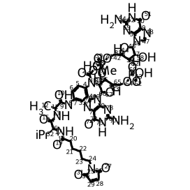 COC(=O)N(c1ccc(NC(=O)[C@H](C)NC(=O)[C@@H](NC(=O)CCCCCN2C(=O)C=CC2=O)C(C)C)cc1)[C@H]1[C@H]2OP(=O)(O)OC[C@H]3O[C@@H](n4cnc5c(=O)[nH]c(N)nc54)[C@@H](O)[C@@H]3OP(=O)(O)OC[C@H]2O[C@H]1n1cnc2c(=O)[nH]c(N)nc21